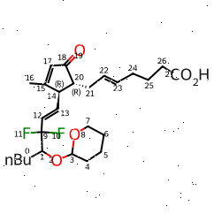 CCCCC(OC1CCCCO1)C(F)(F)C=C[C@H]1C(C)=CC(=O)[C@@H]1CC=CCCCC(=O)O